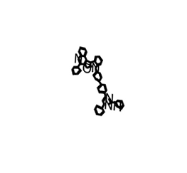 C1=C(c2ccc(-c3ccc(N4c5ccccc5C5c6c(c(-c7ccccc7)nc7ccccc67)OC54)cc3)cc2)N=C(c2ccccc2)NC1c1ccccc1